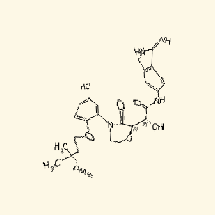 COC(C)(C)CCOc1ccccc1N1CCO[C@H]([C@@H](O)C(=O)Nc2ccc3c(c2)CNC3=N)C1=O.Cl